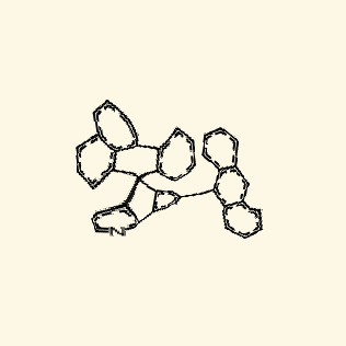 c1ccc2c(c1)-c1cccc3cccc(c13)C21c2cc(-c3c4ccccc4cc4ccccc34)ccc2-c2ncccc21